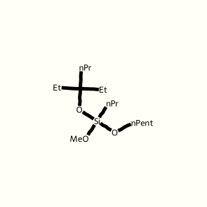 CCCCCO[Si](CCC)(OC)OC(CC)(CC)CCC